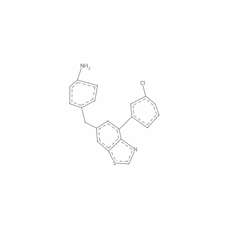 Nc1ccc(Cc2cc(-c3cccc(Cl)c3)c3ncsc3c2)cc1